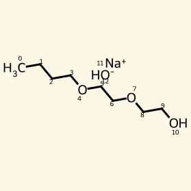 CCCCOCCOCCO.[Na+].[OH-]